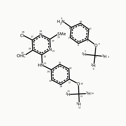 [2H]C([2H])([2H])Oc1ccc(N)cc1.[2H]C([2H])([2H])Oc1ccc(Nc2nc(SC)nc(Cl)c2C=O)cc1